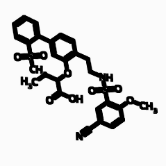 CCC(Oc1cc(-c2ccccc2S(C)(=O)=O)ccc1CCNS(=O)(=O)c1cc(C#N)ccc1OC)C(=O)O